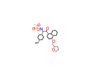 C=Cc1ccc(/C(=N\OS(C)(=O)=O)C(=O)c2ccc(OCC3CCCO3)c3ccccc23)cc1